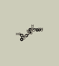 O=C(Cc1ccc2c(c1)NC(=O)C2)Nc1ccc2ncn(CC3CCN(C(=O)C4CCC(O)CC4c4ccccc4)CC3)c(=O)c2n1